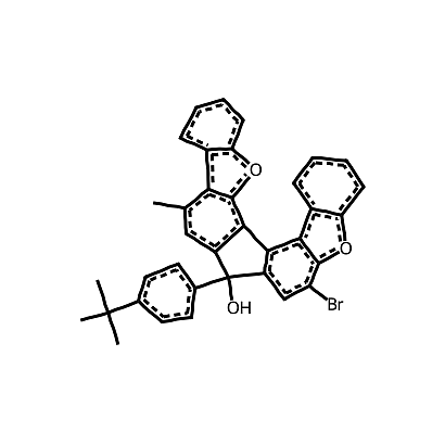 Cc1cc2c(c3oc4ccccc4c13)-c1c(cc(Br)c3oc4ccccc4c13)C2(O)c1ccc(C(C)(C)C)cc1